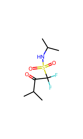 CC(C)NS(=O)(=O)C(F)(F)C(=O)C(C)C